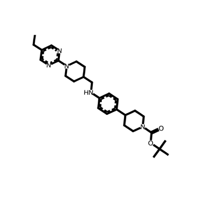 CCc1cnc(N2CCC(CNc3ccc(C4CCN(C(=O)OC(C)(C)C)CC4)cc3)CC2)nc1